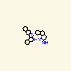 N=C1C=Cc2ccc3ccc(-n4c5cc6ccccc6cc5c5c6ccccc6ccc54)cc3c2C1=N